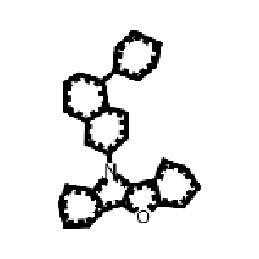 c1ccc(-c2cccc3cc(-n4c5ccccc5c5oc6ccccc6c54)ccc23)cc1